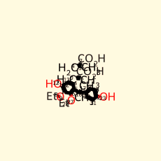 C=C(C)C(=O)O.C=C(C)C(=O)O.CCOc1c(O)ccc(C(C)(C)c2ccc(O)cc2)c1OCC